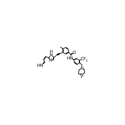 Cc1ccc(C(=O)Nc2ccc(CN3CCN(C)CC3)c(C(F)(F)F)c2)cc1C#Cc1cnc(/C=C\C=N)[nH]1